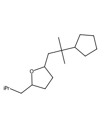 CC(C)CC1CCC(CC(C)(C)C2CCCC2)O1